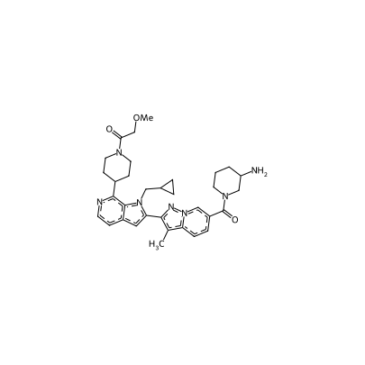 COCC(=O)N1CCC(c2nccc3cc(-c4nn5cc(C(=O)N6CCCC(N)C6)ccc5c4C)n(CC4CC4)c23)CC1